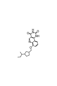 CCC(C)C1CCC(COc2cccc3c2ncc2c(=O)[nH]c(=O)[nH]c23)C1